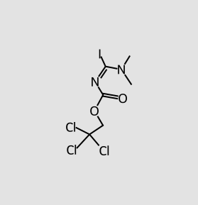 CN(C)/C(I)=N\C(=O)OCC(Cl)(Cl)Cl